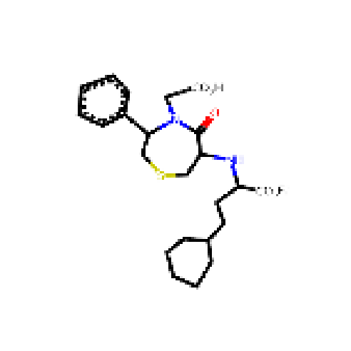 CCOC(=O)C(CCC1CCCCC1)NC1CSCC(c2ccccc2)N(CC(=O)O)C1=O